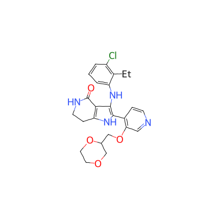 CCc1c(Cl)cccc1Nc1c(-c2ccncc2OCC2COCCO2)[nH]c2c1C(=O)NCC2